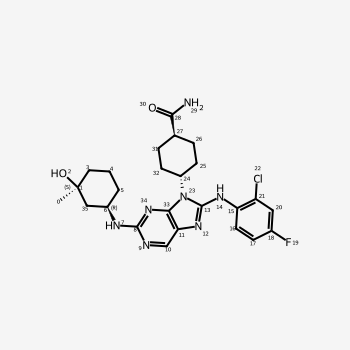 C[C@]1(O)CCC[C@@H](Nc2ncc3nc(Nc4ccc(F)cc4Cl)n([C@H]4CC[C@H](C(N)=O)CC4)c3n2)C1